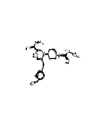 CC(C)(C)OC(=O)N1CCC(N2CC(C(N)=O)OCC2Cc2ccc(Cl)cc2)CC1